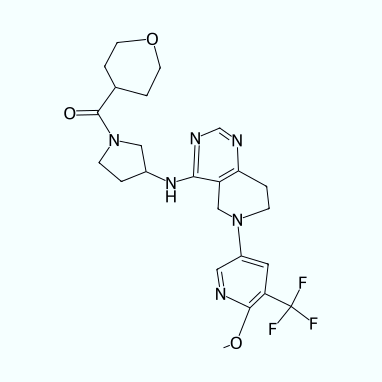 COc1ncc(N2CCc3ncnc(NC4CCN(C(=O)C5CCOCC5)C4)c3C2)cc1C(F)(F)F